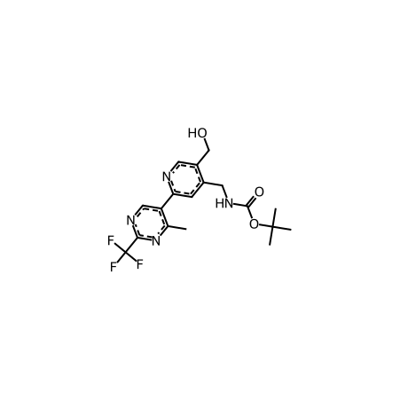 Cc1nc(C(F)(F)F)ncc1-c1cc(CNC(=O)OC(C)(C)C)c(CO)cn1